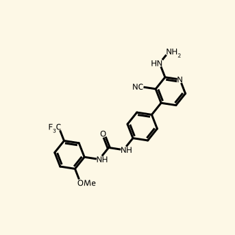 COc1ccc(C(F)(F)F)cc1NC(=O)Nc1ccc(-c2ccnc(NN)c2C#N)cc1